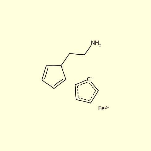 NCCC1C=CC=C1.[Fe+2].c1cc[cH-]c1